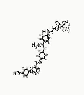 C=C(C)C(=O)OCCNc1ccc(C(C)Cc2ccc(SCC(COc3ccc(C(C)C)cc3)OC(C)C)cc2)cc1